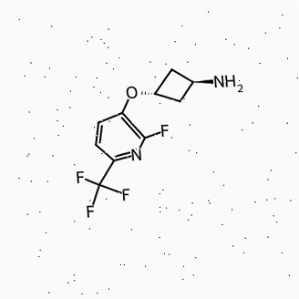 N[C@H]1C[C@H](Oc2ccc(C(F)(F)F)nc2F)C1